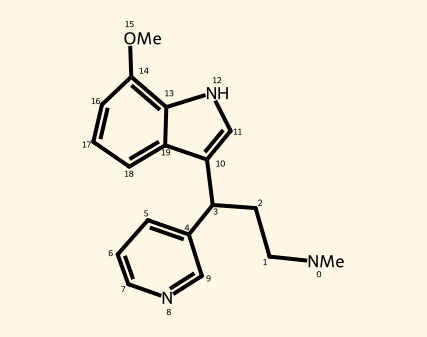 CNCCC(c1cccnc1)c1c[nH]c2c(OC)cccc12